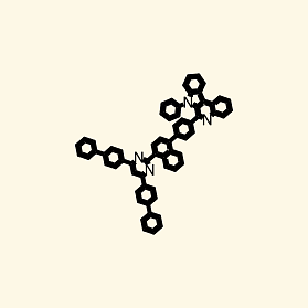 c1ccc(-c2ccc(-c3cc(-c4ccc(-c5ccccc5)cc4)nc(-c4ccc(-c5ccc(-c6nc7ccccc7c7c8ccccc8n(-c8ccccc8)c67)cc5)c5ccccc45)n3)cc2)cc1